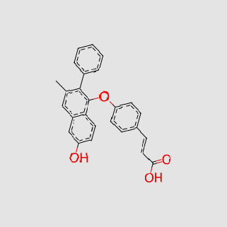 Cc1cc2cc(O)ccc2c(Oc2ccc(C=CC(=O)O)cc2)c1-c1ccccc1